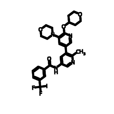 Cc1ncc(NC(=O)c2cccc(C(F)(F)I)c2)cc1-c1cnc(OC2CCOCC2)c(N2CCOCC2)c1